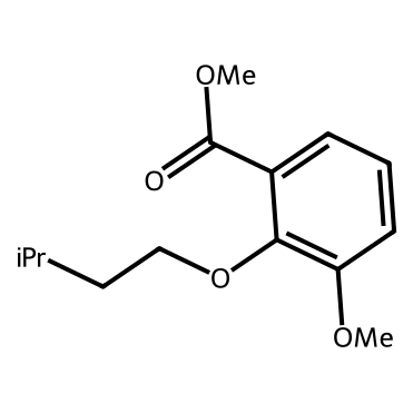 COC(=O)c1cccc(OC)c1OCCC(C)C